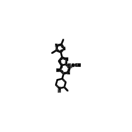 Cc1nc(C)c(-c2cc3[nH]c(C4CCNC(C)C4)ncc-3n2)s1.Cl.O